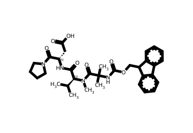 CC(C)[C@@H](C(=O)N[C@@H](CC(=O)O)C(=O)N1CCCC1)N(C)C(=O)C(C)(C)NC(=O)OCC1c2ccccc2-c2ccccc21